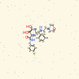 O=C(NCc1ccc(F)cc1)c1nc(C(NCCN2CCOCC2)c2ccccc2)nc(O)c1O